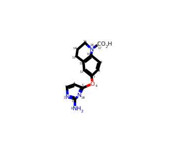 Nc1nccc(Oc2ccc3c(c2)CCCN3C(=O)O)n1